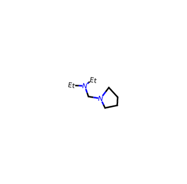 CCN(CC)CN1CCCC1